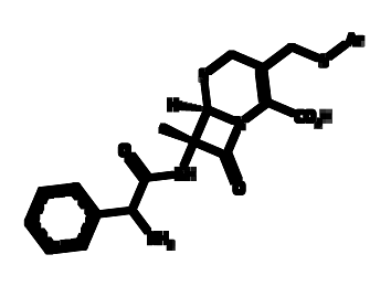 CC(=O)SCC1=C(C(=O)O)N2C(=O)[C@](C)(NC(=O)C(N)c3ccccc3)[C@H]2SC1